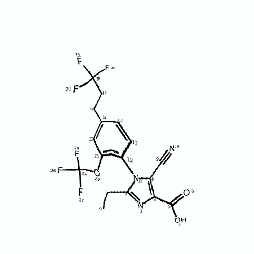 CCc1nc(C(=O)O)c(C#N)n1-c1ccc(CCC(F)(F)F)cc1OC(F)(F)F